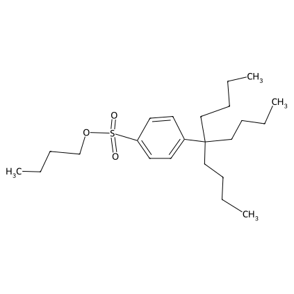 CCCCOS(=O)(=O)c1ccc(C(CCCC)(CCCC)CCCC)cc1